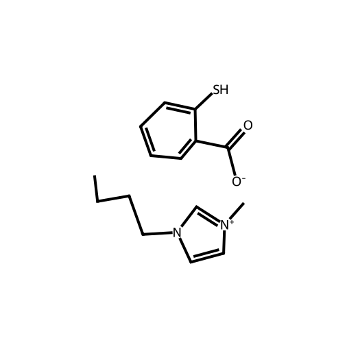 CCCCn1cc[n+](C)c1.O=C([O-])c1ccccc1S